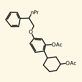 CCCC(COc1ccc(C2CCCC(OC(C)=O)C2)c(OC(C)=O)c1)c1ccccc1